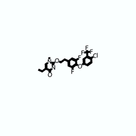 CCc1cn(C)c(OCCc2cc(F)c(Oc3ccc(Cl)c(C(F)(F)F)c3)c(F)c2)nc1=O